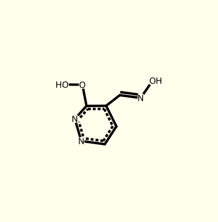 O/N=C/c1ccnnc1OO